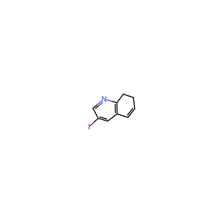 Ic1cnc2c(c1)C=CCC2